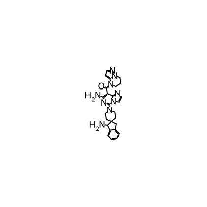 Nc1nc(N2CCC3(CC2)Cc2ccccc2C3N)n2ccnc2c1C(=O)N1CCCn2nccc21